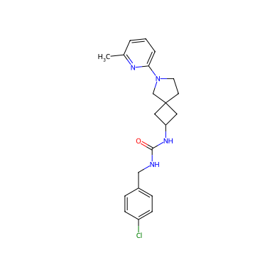 Cc1cccc(N2CCC3(CC(NC(=O)NCc4ccc(Cl)cc4)C3)C2)n1